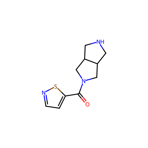 O=C(c1ccns1)N1CC2CNCC2C1